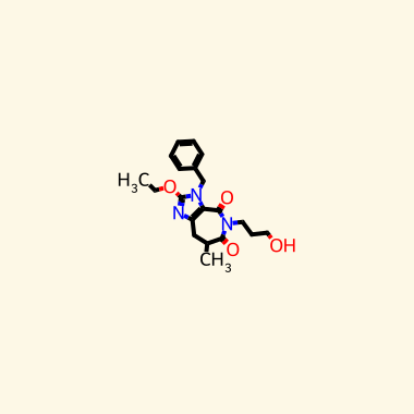 CCOc1nc2c(n1Cc1ccccc1)C(=O)N(CCCO)C(=O)C(C)C2